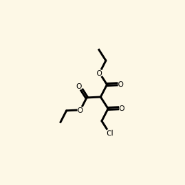 CCOC(=O)C(C(=O)CCl)C(=O)OCC